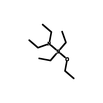 CCO[Si](CC)(CC)N(CC)CC